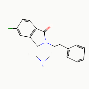 CC(C)(C)N(C[C@@H](Cc1ccccc1)N1Cc2cc(Br)ccc2C1=O)C(=O)O